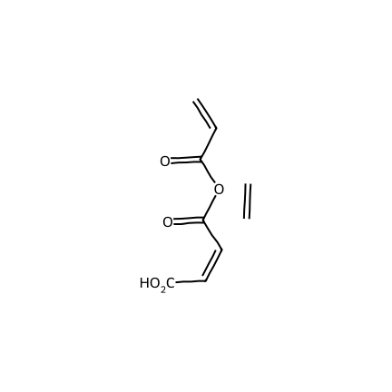 C=C.C=CC(=O)OC(=O)/C=C\C(=O)O